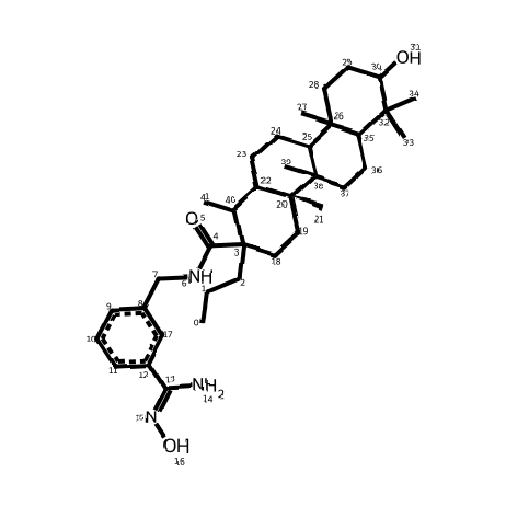 CCCC1(C(=O)NCc2cccc(/C(N)=N/O)c2)CC[C@]2(C)C(CCC3C4(C)CCC(O)C(C)(C)C4CCC32C)C1C